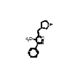 Cc1c(-c2ccccc2)noc1CC1CCNC1